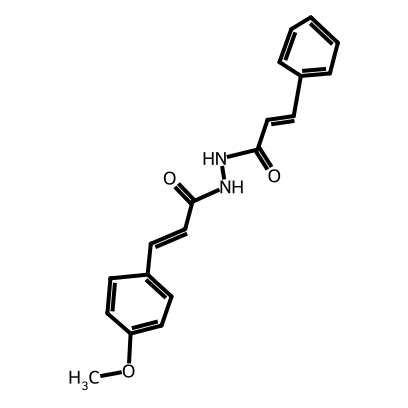 COc1ccc(C=CC(=O)NNC(=O)C=Cc2ccccc2)cc1